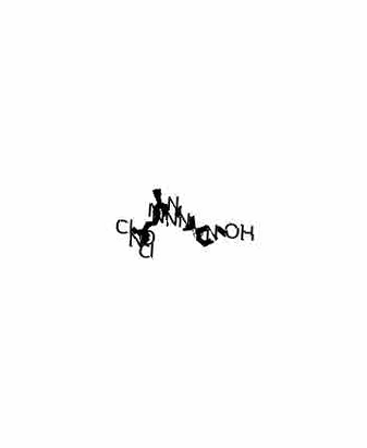 C#Cc1nn(CCc2oc(Cl)nc2Cl)c2nc(N3CC([C@H]4CCCN(CCO)C4)C3)cnc12